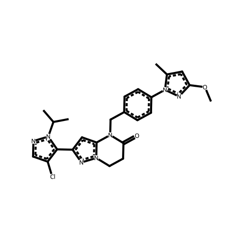 COc1cc(C)n(-c2ccc(CN3C(=O)CCn4nc(-c5c(Cl)cnn5C(C)C)cc43)cc2)n1